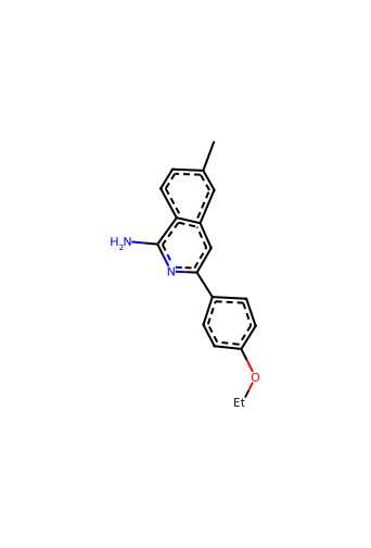 CCOc1ccc(-c2cc3cc(C)ccc3c(N)n2)cc1